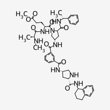 CN[C@@H](C)C(=O)N[C@@H](CCC(=O)OC)C(=O)N1C[C@@H](NC(=O)c2cccc(C(=O)N[C@@H]3CN[C@H](C(=O)N[C@@H]4CCCc5ccccc54)C3)c2)CC1C(=O)N[C@H](C)c1ccccc1